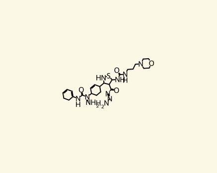 NN=NC(=O)C1C(NC(=O)NCCCN2CCOCC2)SNC1C1C=CC(N(N)C(=O)NC2=CC=CCC2)CC1